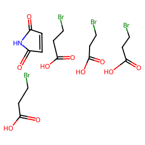 O=C(O)CCBr.O=C(O)CCBr.O=C(O)CCBr.O=C(O)CCBr.O=C1C=CC(=O)N1